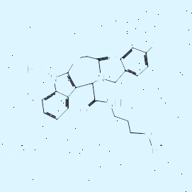 CC(C)OCCCNC(=O)C1c2c(n(C)c3ccccc23)SCC(=O)N1Cc1ccc(Cl)cc1